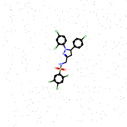 O=S(=O)(NCC1=NN(c2ccc(Cl)cc2Cl)C(c2ccc(Cl)cc2)C1)c1cc(F)c(Br)cc1F